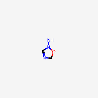 [NH]N1C=NCO1